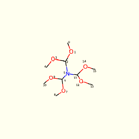 COC(OC)N(C(OC)OC)C(OC)OC